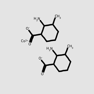 CC1CCCC(C(=O)[O-])C1N.CC1CCCC(C(=O)[O-])C1N.[Co+2]